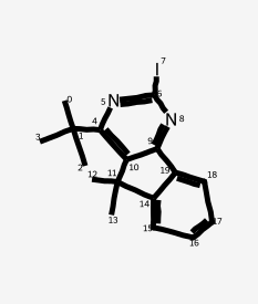 CC(C)(C)c1nc(I)nc2c1C(C)(C)c1ccccc1-2